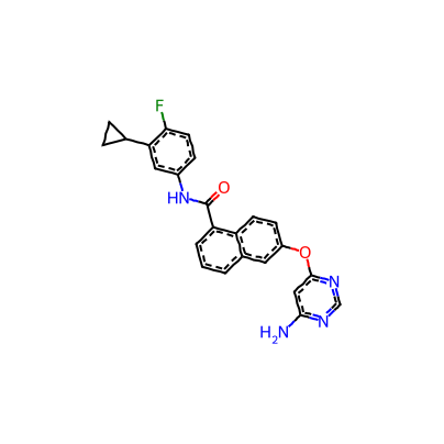 Nc1cc(Oc2ccc3c(C(=O)Nc4ccc(F)c(C5CC5)c4)cccc3c2)ncn1